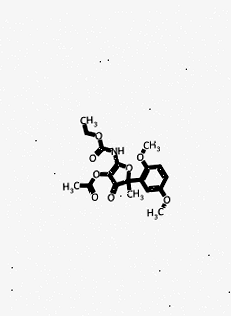 CCOC(=O)NC1=C(OC(C)=O)C(=O)C(C)(c2cc(OC)ccc2OC)O1